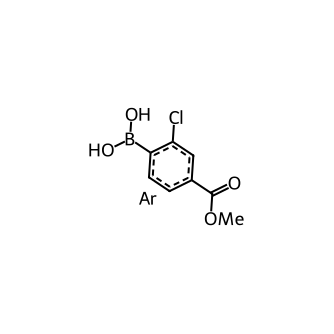 COC(=O)c1ccc(B(O)O)c(Cl)c1.[Ar]